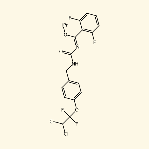 CC(C)OC(=NC(=O)NCc1ccc(OC(F)(F)C(Cl)Cl)cc1)c1c(F)cccc1F